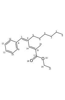 CCCCCCC(=Cc1ccccc1)C=C(C)C(=O)OCC